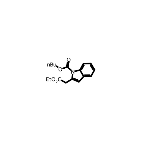 CCCCOC(=O)n1c(CC(=O)OCC)cc2ccccc21